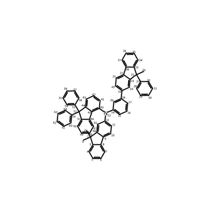 CC1(C)c2ccccc2-c2ccc(N(c3cccc(-c4ccc5c(c4)C(C)(c4ccccc4)c4ccccc4-5)c3)c3cccc4c3-c3ccccc3C4(c3ccccc3)c3ccccc3)cc21